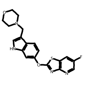 Fc1cnc2nc(Oc3ccc4c(CN5CCOCC5)c[nH]c4c3)sc2c1